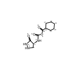 O=C(N[C@H]1CNNC1=O)OC(=O)C1CCCCC1